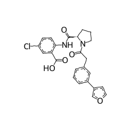 O=C(O)c1cc(Cl)ccc1NC(=O)[C@H]1CCCN1C(=O)Cc1cccc(-c2ccoc2)c1